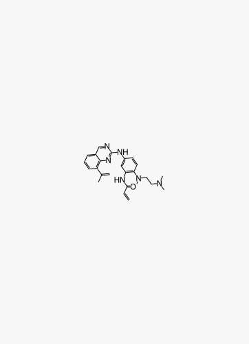 C=CC(=O)Nc1cc(Nc2ncc3cccc(C(=C)C)c3n2)ccc1N(C)CCN(C)C